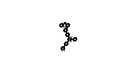 CC1(C)c2ccccc2-n2c3ccc(-c4ccc(-c5cc(-c6ccc(-c7cccnc7)cc6)nc(-c6ccccc6)n5)cc4)cc3c3cccc1c32